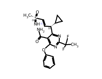 CC(F)(F)c1nc(Oc2ccccc2)c(C(N)=O)c([C@H](/C=C/[S@@](C)(=N)=O)C2CC2)n1